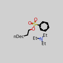 CCCCCCCCCCCCOS(=O)(=O)c1ccccc1.CCN(CC)CC